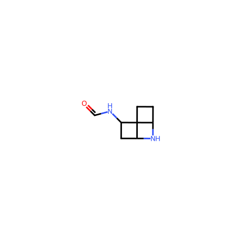 O=CNC1CC2NC3CCC132